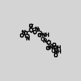 COc1cc(-c2cn(C)c(=O)c3cnccc23)cc(OC)c1CN1CC(CC(=O)NC2CCCN(c3ccc4c(c3)C(=O)N(C3CCC(=O)NC3O)C4=O)C2)C1